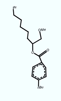 CCCCc1ccc(C(=O)OC(CCCCCC(C)C)COC)cc1